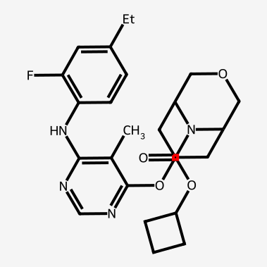 CCc1ccc(Nc2ncnc(OC3CC4COCC(C3)N4C(=O)OC3CCC3)c2C)c(F)c1